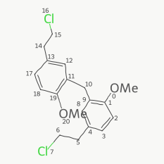 COc1ccc(CCCl)cc1Cc1cc(CCCl)ccc1OC